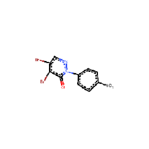 O=c1c(Br)c(Br)cnn1-c1ccc([N+](=O)[O-])cc1